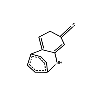 S=C1C=C2Nc3ccc(cc3)C2=CC1